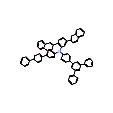 c1ccc(-c2ccc(-c3ccc(N(c4ccc(-c5cc(-c6ccccc6)cc(-c6ccccc6)c5)cc4)c4cc(-c5ccc6ccccc6c5)ccc4-c4ccc5ccccc5c4)cc3)cc2)cc1